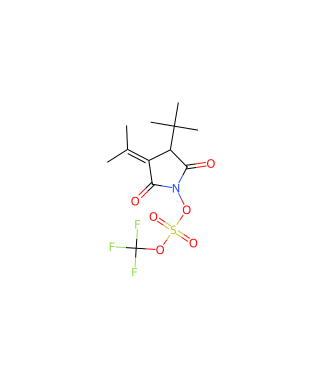 CC(C)=C1C(=O)N(OS(=O)(=O)OC(F)(F)F)C(=O)C1C(C)(C)C